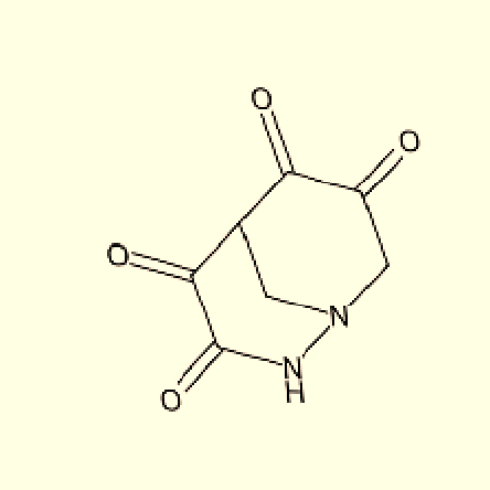 O=C1CN2CC(C1=O)C(=O)C(=O)N2